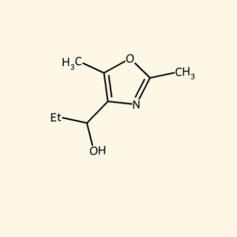 CCC(O)c1nc(C)oc1C